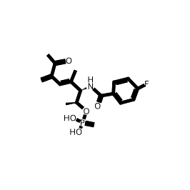 C=C(/C=C(\C)[C@H](NC(=O)c1ccc(F)cc1)[C@H](C)OP(=C)(O)O)C(C)=O